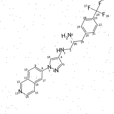 N[C@@H](CNc1cnn(-c2ccc3cnccc3c2)c1)Cc1ccc(C(F)(F)F)cc1